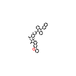 C=C(CC1C(=C)c2c(ccc3cc4c(cc23)oc2ccccc24)C1(C)C)c1ccc(/C=C(\C)c2c3ccccc3c(-c3ccc4ccccc4c3)c3ccccc23)c(C)c1